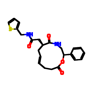 O=C(C[C@@H]1C/C=C/CCC(=O)OC(c2ccccc2)CNC1=O)NCc1cccs1